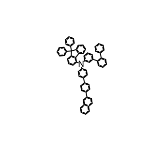 c1ccc(-c2ccccc2-c2cccc(N(c3ccc(-c4ccc(-c5ccc6ccccc6c5)cc4)cc3)c3cccc4c3-c3ccccc3C4(c3ccccc3)c3ccccc3)c2)cc1